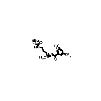 C[C@H](CCCNC(=O)OC(C)(C)C)CNC(=O)c1cc(C(F)(F)F)cc(C(F)(F)F)c1